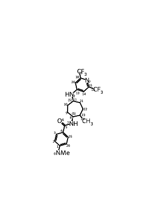 CNc1ccc(C(=O)N[C@H]2CC[C@@H](Nc3cc(C(F)(F)F)nc(C(F)(F)F)c3)CCC2C)cc1